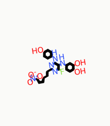 O=[N+]([O-])c1ccc(/C=C/c2nc(F)c(Nc3ccc(O)c(O)c3)c(Nc3ccc(O)cc3)n2)o1